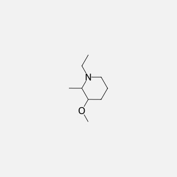 CCN1CCCC(OC)C1C